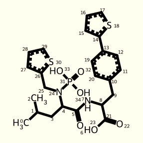 CC(C)CC(C(=O)NC(Cc1ccc(-c2cccs2)cc1)C(=O)O)N(Cc1cccs1)P(=O)(O)O